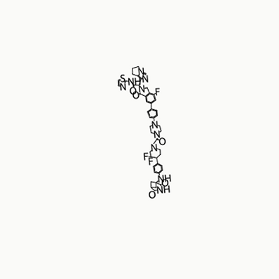 O=C1NC(=O)C2(Nc3ccc(C4CCN(CC(=O)N5CCN(c6ccc(-c7cc(F)c8c(c7)C(=O)N(C(C(=O)Nc7nccs7)c7ncn9c7CCC9)C8)cc6)CC5)CC4(F)F)cc3)CC1C2